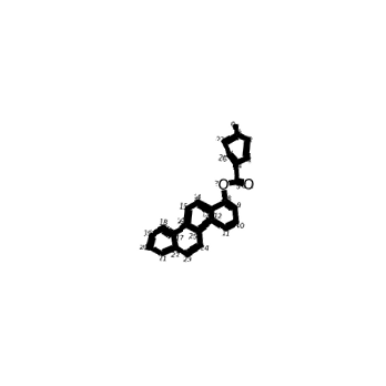 Cc1ccc(C(=O)Oc2cccc3c2ccc2c4ccccc4ccc32)cc1